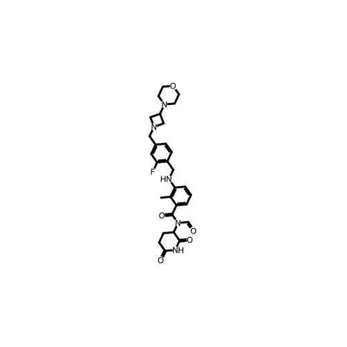 Cc1c(NCc2ccc(CN3CC(N4CCOCC4)C3)cc2F)cccc1C(=O)N(C=O)C1CCC(=O)NC1=O